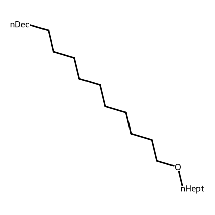 CCCCCCCCCCCCCCCCCCCCOCCCCCCC